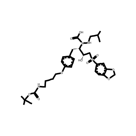 CC(C)CNN(C(=O)O)[C@@H](Cc1ccc(OCCCCNC(=O)OC(C)(C)C)cc1)[C@@H](O)CS(=O)(=O)c1ccc2c(c1)OCO2